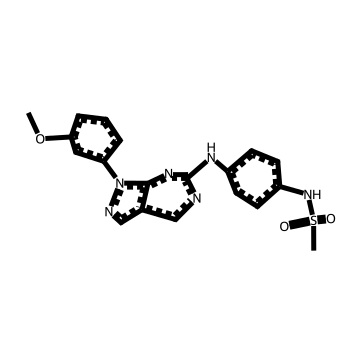 COc1cccc(-n2ncc3cnc(Nc4ccc(NS(C)(=O)=O)cc4)nc32)c1